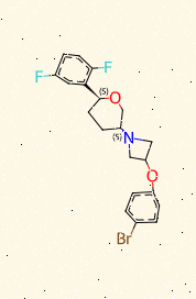 Fc1ccc(F)c([C@@H]2CC[C@H](N3CC(Oc4ccc(Br)cc4)C3)CO2)c1